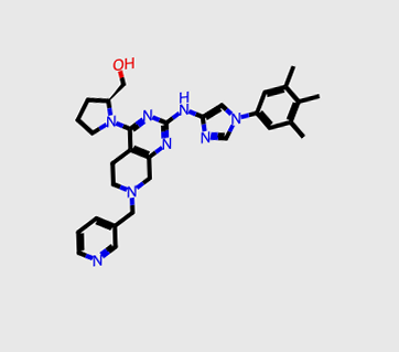 Cc1cc(-n2cnc(Nc3nc4c(c(N5CCC[C@H]5CO)n3)CCN(Cc3cccnc3)C4)c2)cc(C)c1C